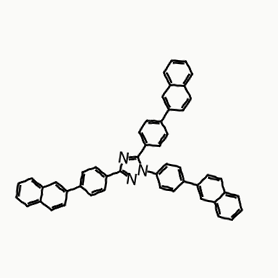 c1ccc2cc(-c3ccc(-c4nc(-c5ccc(-c6ccc7ccccc7c6)cc5)n(-c5ccc(-c6ccc7ccccc7c6)cc5)n4)cc3)ccc2c1